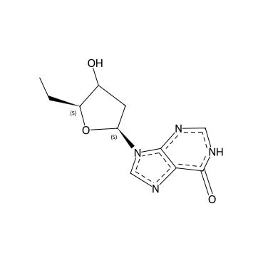 CC[C@@H]1O[C@H](n2cnc3c(=O)[nH]cnc32)CC1O